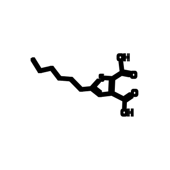 CCCCCCc1cc(C(=O)O)c(C(=O)O)s1